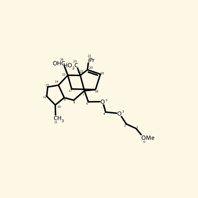 COCCOCOCC12CC3C(C)CCC3C3(C=O)CC1C=C(C(C)C)C32C(=O)O